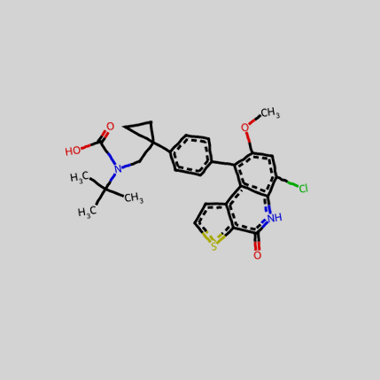 COc1cc(Cl)c2[nH]c(=O)c3sccc3c2c1-c1ccc(C2(CN(C(=O)O)C(C)(C)C)CC2)cc1